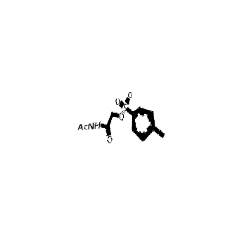 CC(=O)NC(=O)COS(=O)(=O)c1ccc(C)cc1